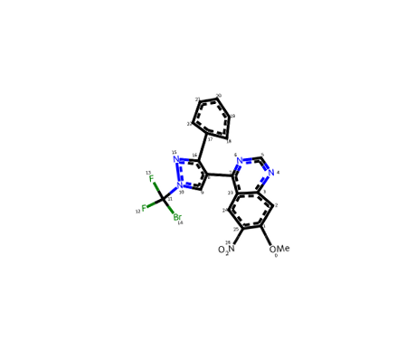 COc1cc2ncnc(-c3cn(C(F)(F)Br)nc3-c3ccccc3)c2cc1[N+](=O)[O-]